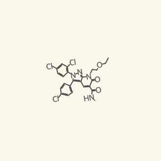 CCOCCn1c(=O)c(C(=O)NC)cc2c(-c3ccc(Cl)cc3)n(-c3ccc(Cl)cc3Cl)nc21